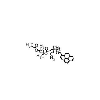 C=CC(=O)OCCC(C)(CC)OC(=O)CCC(C)(CC)C(=O)OCc1ccc2ccc3cccc4ccc1c2c34